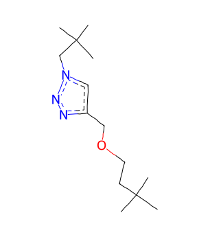 CC(C)(C)CCOCc1cn(CC(C)(C)C)nn1